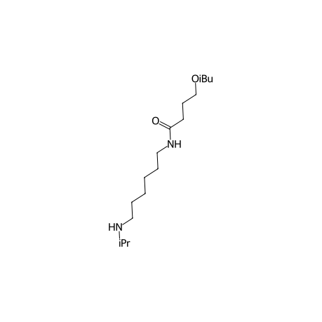 CC(C)COCCCC(=O)NCCCCCCNC(C)C